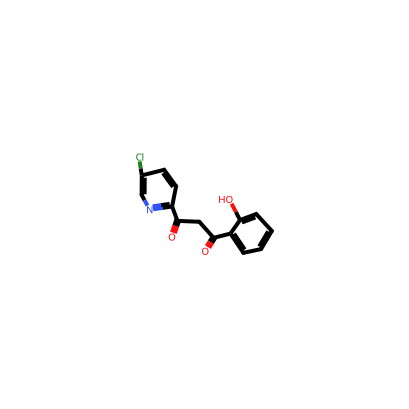 O=C(CC(=O)c1ccccc1O)c1ccc(Cl)cn1